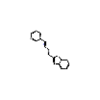 C(/C=C/c1nc2ccccc2s1)=C\c1cccnc1